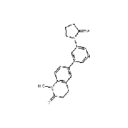 CN1C(=O)CCc2cc(-c3cncc(N4CCCC4=O)c3)ccc21